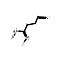 S=CCCC(=[NH+][S-])[NH2+][S-]